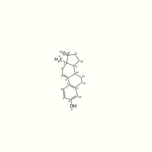 CC12CC=C3c4ccc(O)cc4CCC3C1CCC2=O